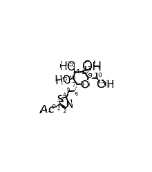 CC(=O)c1cnc(CC[C@H]2O[C@H](CO)[C@@H](O)[C@H](O)[C@@H]2O)s1